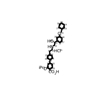 CC(C)Oc1cc(-c2ccc(CCNC[C@@H](O)c3cccc(OCc4ccccc4)c3)cc2)ccc1C(=O)O.Cl